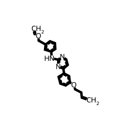 C=CCCOc1cccc(-c2ccnc(Nc3cccc(COC=C)c3)n2)c1